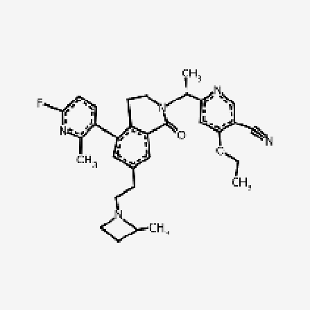 CCOc1cc([C@H](C)N2CCc3c(cc(CCN4CCC4C)cc3-c3ccc(F)nc3C)C2=O)ncc1C#N